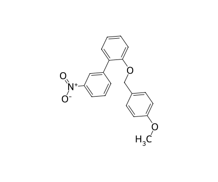 COc1ccc(COc2ccccc2-c2cccc([N+](=O)[O-])c2)cc1